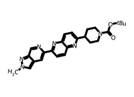 Cn1cc2cc(-c3ccc4nc(C5CCN(C(=O)OC(C)(C)C)CC5)ccc4n3)ncc2n1